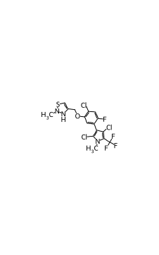 CN1NC(COc2cc(-c3c(Cl)c(C(F)(F)F)n(C)c3Cl)c(F)cc2Cl)=CS1